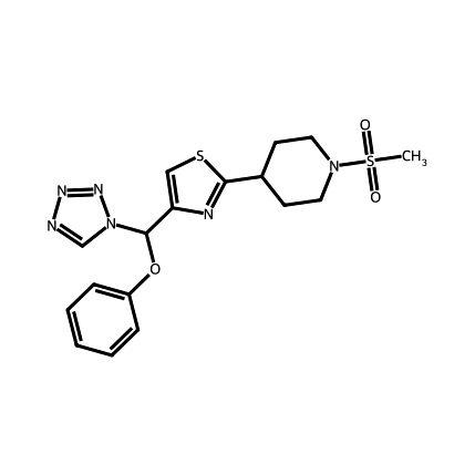 CS(=O)(=O)N1CCC(c2nc(C(Oc3ccccc3)n3cnnn3)cs2)CC1